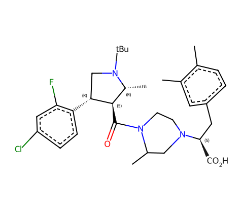 Cc1ccc(C[C@@H](C(=O)O)N2CCN(C(=O)[C@@H]3[C@@H](C)N(C(C)(C)C)C[C@H]3c3ccc(Cl)cc3F)C(C)C2)cc1C